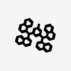 Cc1cc(C(c2cccc3ccccc23)c2cccc3ccccc23)[c]c(C(c2cccc3ccccc23)c2cccc3ccccc23)c1